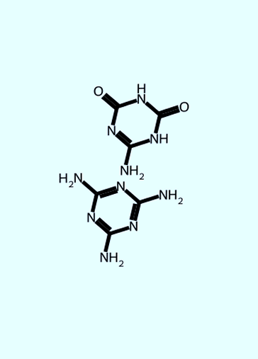 Nc1nc(=O)[nH]c(=O)[nH]1.Nc1nc(N)nc(N)n1